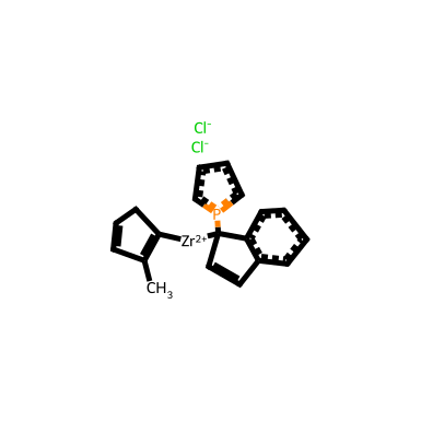 CC1=[C]([Zr+2][C]2(p3cccc3)C=Cc3ccccc32)CC=C1.[Cl-].[Cl-]